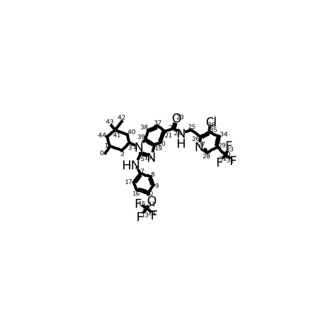 CC1CC(n2c(Nc3ccc(OC(F)(F)F)cc3)nc3cc(C(=O)NCc4ncc(C(F)(F)F)cc4Cl)ccc32)CC(C)(C)C1